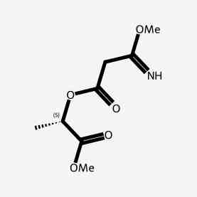 COC(=N)CC(=O)O[C@@H](C)C(=O)OC